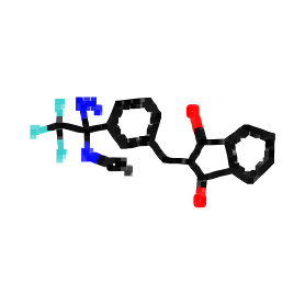 C=NC(N)(c1cccc(CC2C(=O)c3ccccc3C2=O)c1)C(F)(F)F